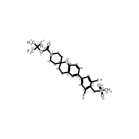 CC(C)(OC(=O)N1CCC2(CCc3cc(-c4cc(F)c(CS(C)(=O)=O)c(F)c4)ccc3O2)CC1)C(F)(F)F